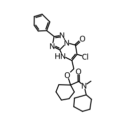 CN(C(=O)C1(OCc2[nH]c3nc(-c4ccccc4)nn3c(=O)c2Cl)CCCCC1)C1CCCCC1